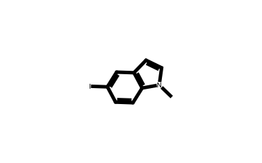 Cn1ccc2cc(I)ccc21